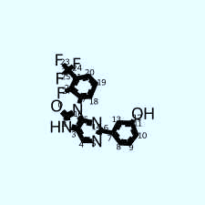 O=c1[nH]c2cnc(-c3cccc(O)c3)nc2n1-c1cccc(C(F)(F)F)c1F